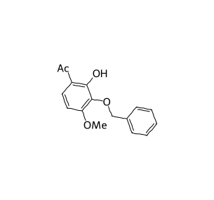 COc1ccc(C(C)=O)c(O)c1OCc1ccccc1